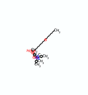 CCCCCCCCCCCCOCCCCCCCCCCCCCOC(Oc1ccc(-c2nc(-c3ccc(C)cc3C)nc(-c3ccc(C)cc3C)n2)c(O)c1)C(C)O